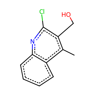 Cc1c(CO)c(Cl)nc2ccccc12